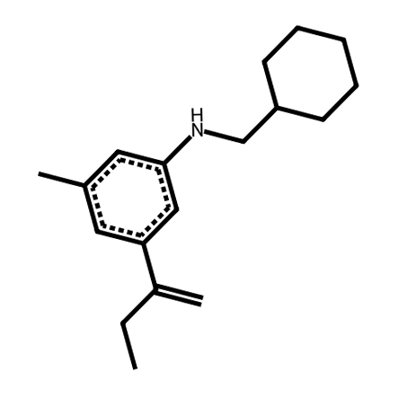 C=C(CC)c1cc(C)cc(NCC2CCCCC2)c1